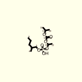 CCCC(C)COP(=O)(O)OC(C)OC(=O)OC(C)C